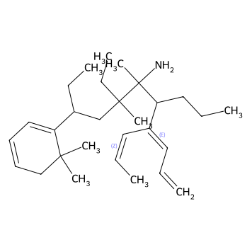 C=C/C=C(\C=C/C)C(CCC)C(C)(N)C(C)(CC)CC(CC)C1=CC=CCC1(C)C